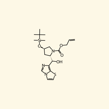 C=CCOC(=O)N1C[C@H](O[Si](C)(C)C(C)(C)C)C[C@H]1C(O)c1ncn2ccsc12